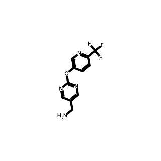 NCc1cnc(Oc2ccc(C(F)(F)F)nc2)nc1